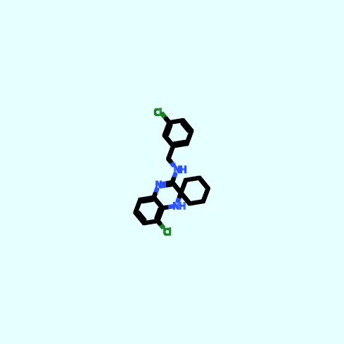 Clc1cccc(CNC2=Nc3cccc(Cl)c3NC23CCCCC3)c1